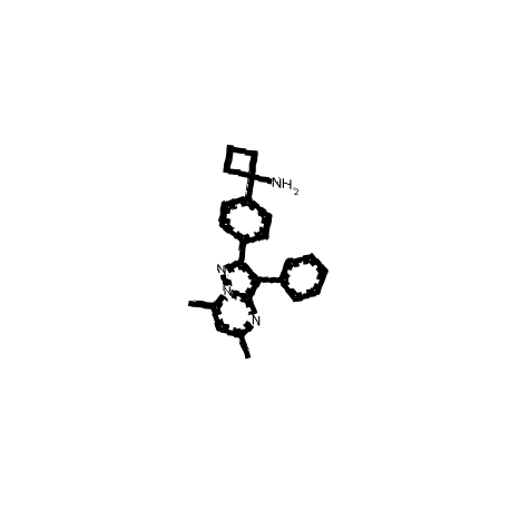 Cc1cc(C)n2nc(-c3ccc(C4(N)CCC4)cc3)c(-c3ccccc3)c2n1